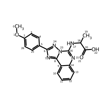 COc1ccc(-c2nc3c4ccccc4nc(NC(C)C(=O)O)n3n2)cc1